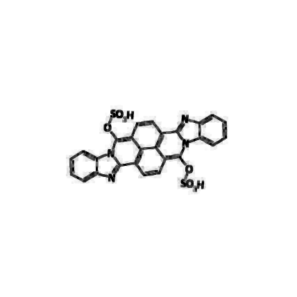 O=S(=O)(O)Oc1c2ccc3c4c(ccc(c24)c2nc4ccccc4n12)c(OS(=O)(=O)O)n1c2ccccc2nc31